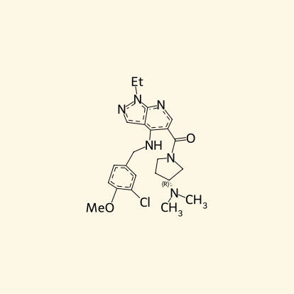 CCn1ncc2c(NCc3ccc(OC)c(Cl)c3)c(C(=O)N3CC[C@@H](N(C)C)C3)cnc21